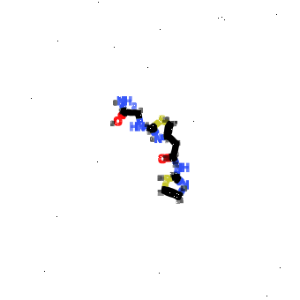 NC(=O)CNc1nc(CC(=O)Nc2nccs2)cs1